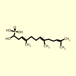 CC(C)=CCC/C(C)=C/CC/C(C)=C/CC(O)P(=O)(O)O